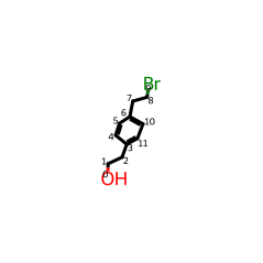 OCCc1ccc(CCBr)cc1